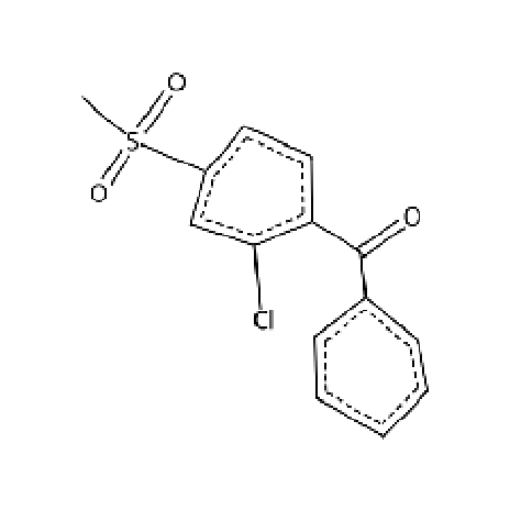 CS(=O)(=O)c1ccc(C(=O)c2ccccc2)c(Cl)c1